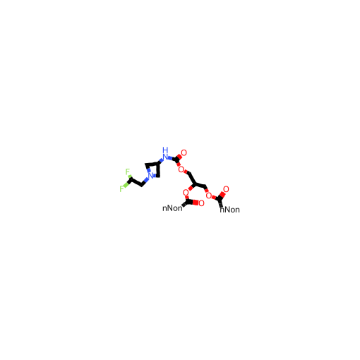 CCCCCCCCCC(=O)OCC(COC(=O)NC1CN(CC(F)F)C1)OC(=O)CCCCCCCCC